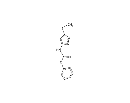 CCc1cc(NC(=O)Oc2ccccc2)no1